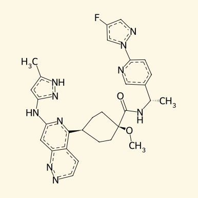 CO[C@]1(C(=O)N[C@@H](C)c2ccc(-n3cc(F)cn3)nc2)CC[C@H](c2nc(Nc3cc(C)[nH]n3)cc3nnccc32)CC1